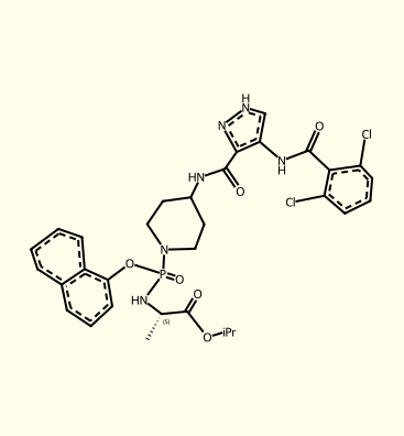 CC(C)OC(=O)[C@H](C)NP(=O)(Oc1cccc2ccccc12)N1CCC(NC(=O)c2n[nH]cc2NC(=O)c2c(Cl)cccc2Cl)CC1